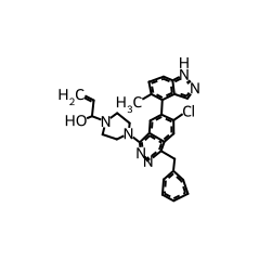 C=CC(O)N1CCN(c2nnc(Cc3ccccc3)c3cc(Cl)c(-c4c(C)ccc5[nH]ncc45)cc23)CC1